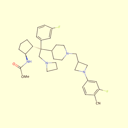 COC(=O)N[C@H]1CCC[C@@H]1C(CN1CCC1)(c1cccc(F)c1)C1CCN(CC2CN(c3ccc(C#N)c(F)c3)C2)CC1